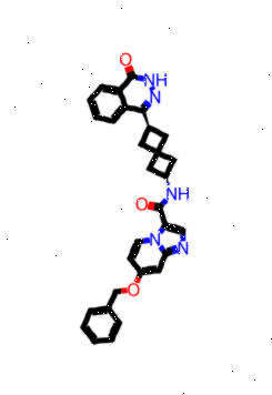 O=C(N[C@H]1CC2(C1)C[C@H](c1n[nH]c(=O)c3ccccc31)C2)c1cnc2cc(OCc3ccccc3)ccn12